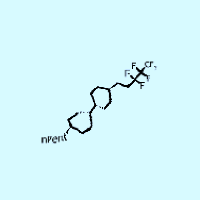 CCCCC[C@H]1CC[C@H]([C@H]2CC[C@H](CCC(F)(F)C(F)(F)C(F)(F)F)CC2)CC1